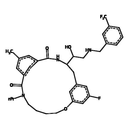 CCCN1CCCCOc2cc(F)cc(c2)CC(C(O)CNCc2cccc(C(F)(F)F)c2)NC(=O)c2cc(C)cc(c2)C1=O